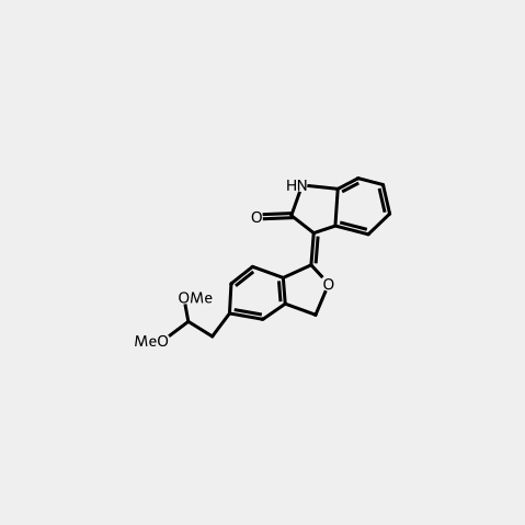 COC(Cc1ccc2c(c1)COC2=C1C(=O)Nc2ccccc21)OC